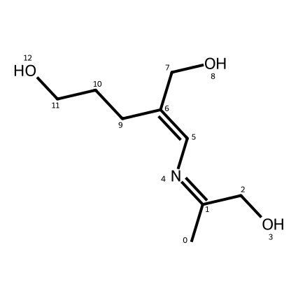 C/C(CO)=N/C=C(/CO)CCCO